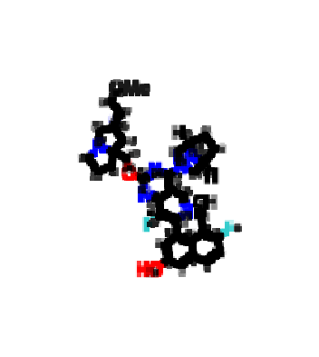 C#Cc1c(F)ccc2cc(O)cc(-c3ncc4c(N5C[C@H]6CC[C@@H](C5)N6)nc(OCC56CCCN5C/C(=C\COC)C6)nc4c3F)c12